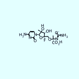 C[C@]1(O)[C@H](n2ccc(N)nc2=O)O[C@](F)(CO[C@@](C)(N=[P+](N)[O-])C(=O)O)[C@H]1O